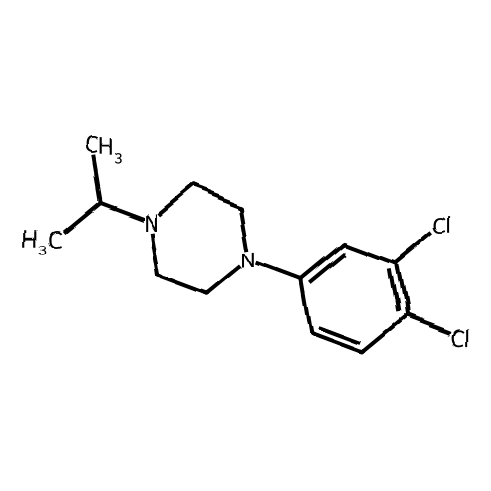 CC(C)N1CCN(c2ccc(Cl)c(Cl)c2)CC1